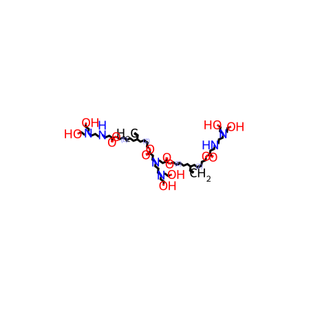 C=CC(C/C=C\COC(=O)CCN(CCCN(CCO)CCO)CCC(=O)OC/C=C/CCC(C=C)C/C=C\CCOC(=O)CCNCCCN(CCO)CCO)CC/C=C/COC(=O)CCNCCCN(CCO)CCO